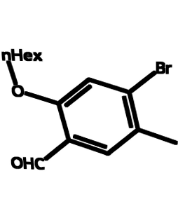 CCCCCCOc1cc(Br)c(C)cc1C=O